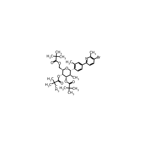 Cc1cc(-c2ccc(Br)c(C)n2)ccc1[C@H]1O[C@H](COC(=O)C(C)(C)C)[C@@H](OC(=O)C(C)(C)C)[C@H](OC(=O)C(C)(C)C)[C@@H]1C